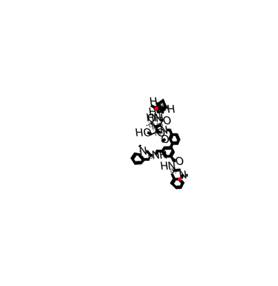 COc1c(CN2O[C@@H](CO)[C@@H]([C@H](C)O)[C@H]2C(=O)NC2C[C@H]3C[C@@H]([C@@H]2C)C3(C)C)cccc1-c1cc(CN[C@@H](Cc2ccccc2)CN(C)C)cc(C(=O)N[C@@H](Cc2ccccc2)CN(C)C)c1